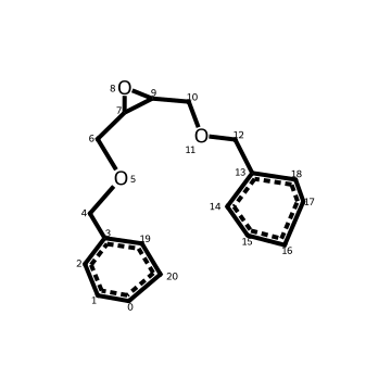 c1ccc(COCC2OC2COCc2ccccc2)cc1